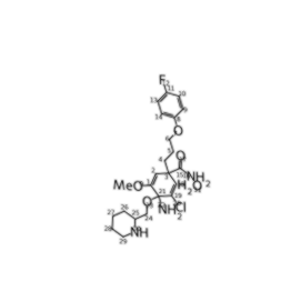 COC1=CC(CCCOc2ccc(F)cc2)(C(N)=O)C=C(Cl)C1(N)OCC1CCCCN1.O